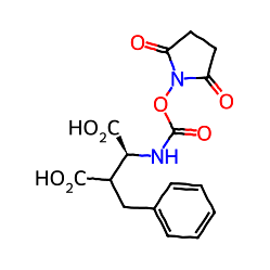 O=C(N[C@H](C(=O)O)C(Cc1ccccc1)C(=O)O)ON1C(=O)CCC1=O